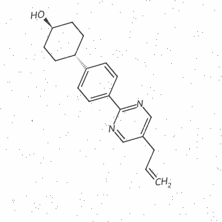 C=CCc1cnc(-c2ccc([C@H]3CC[C@H](O)CC3)cc2)nc1